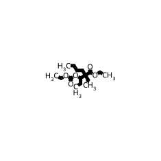 CCCCC(CC)(C(=O)OCC)C(CC)OC(=O)OCC